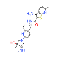 CN[C@H]1CN(c2ccc3c(n2)CC[C@H](NC(=O)c2sc4nc(C)ccc4c2N)C3)C[C@@]1(C)O